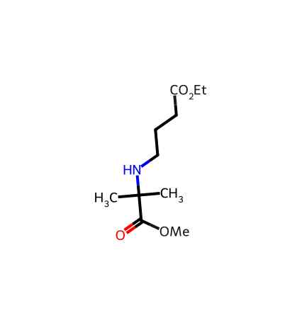 CCOC(=O)CCCNC(C)(C)C(=O)OC